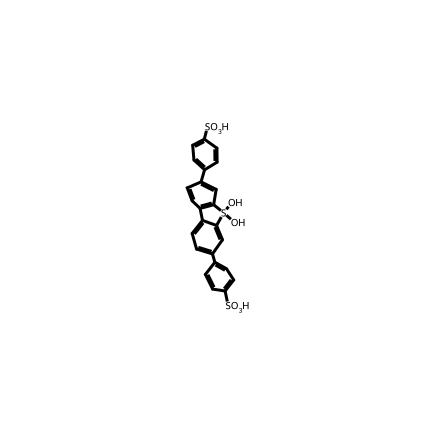 O=S(=O)(O)c1ccc(-c2ccc3c(c2)S(O)(O)c2cc(-c4ccc(S(=O)(=O)O)cc4)ccc2-3)cc1